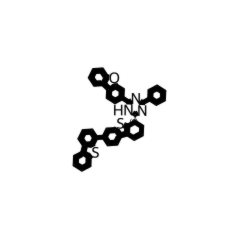 C1=Cc2c(sc3cc(-c4cccc5c4sc4ccccc45)ccc23)[C@H](C2N=C(c3ccccc3)N=C(c3ccc4c(c3)oc3ccccc34)N2)C1